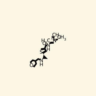 C=NN(/C=C(\C)NC(=O)c1csc([C@@H]2C[C@H]2NCC2CCOCC2)c1)CC